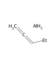 C=C=CCC.[AlH3]